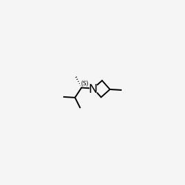 CC1CN([C@@H](C)C(C)C)C1